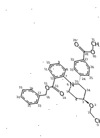 CCO[C@H]1CCN(c2ccccc2C(=O)OCc2ccccc2)[C@H](c2ccc(C(=O)OC)cc2)C1